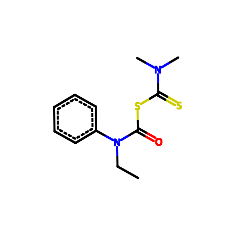 CCN(C(=O)SC(=S)N(C)C)c1ccccc1